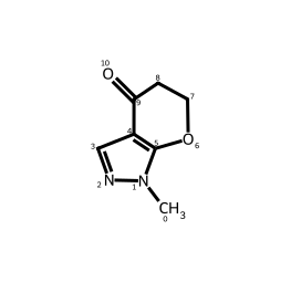 Cn1ncc2c1OCCC2=O